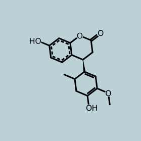 COC1=C(O)CC(C)C([C@@H]2CC(=O)Oc3cc(O)ccc32)=C1